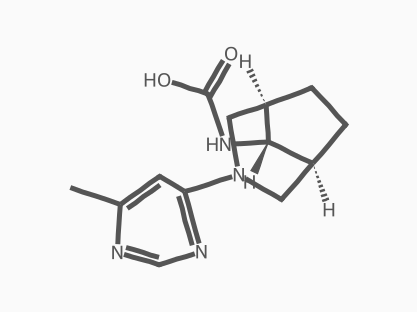 Cc1cc(N2C[C@H]3CC[C@@H](C2)[C@@H]3NC(=O)O)ncn1